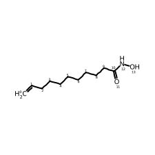 C=CCCCCCCCCC(=O)NO